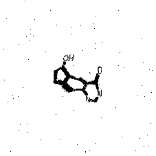 O=C1N=CN=c2cc3c(cc21)=C(O)C=C3